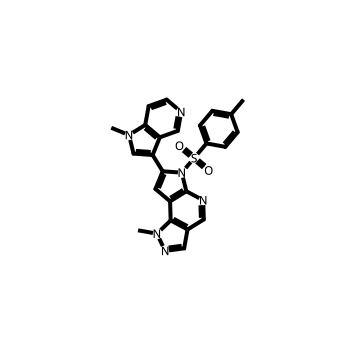 Cc1ccc(S(=O)(=O)n2c(-c3cn(C)c4ccncc34)cc3c4c(cnc32)cnn4C)cc1